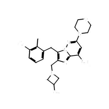 Cc1c(Cc2c(CN3CC(O)C3)nc3c(N)cc(N4CCOCC4)nn23)cccc1C(F)(F)F